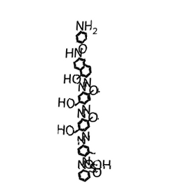 COc1cc(N=Nc2ccc(N=Nc3ccccc3S(=O)(=O)O)c(C)c2)c(CO)cc1N=Nc1cc(OC)c(N=Nc2ccc3cc(NOc4ccc(N)cc4)ccc3c2O)cc1CO